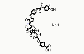 O=C(C[n+]1ccc(CN2CC/C(=C\C3=C(C(=O)O)N4C(=O)[C@@H](NC(=O)COc5ccc(C(=O)O)cc5)[C@H]4SC3)C2=O)cc1)Nc1ccc(O)c(F)c1.[NaH]